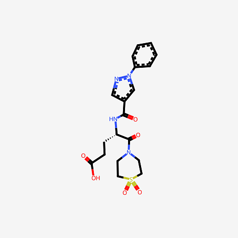 O=C(O)CC[C@H](NC(=O)c1cnn(-c2ccccc2)c1)C(=O)N1CCS(=O)(=O)CC1